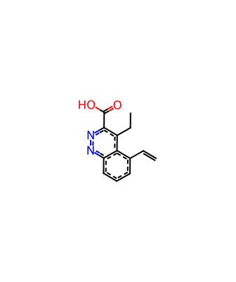 C=Cc1cccc2nnc(C(=O)O)c(CC)c12